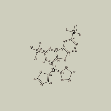 C[Si](C)(C)c1ccc2c(c1)-c1cc([Si](C)(C)C)c[c]([Zr]([C]3=CC=CC3)=[C]3CCCC3)c1C2